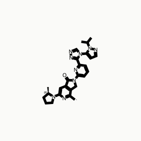 [CH2]c1nc(N2CCC[C@H]2C)cc2c1CN(c1cccc(-c3nncn3-c3ccnn3C(C)C)n1)C2=O